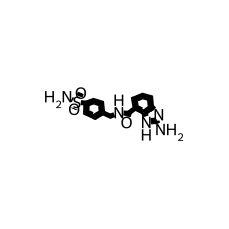 Nc1nc2cccc(C(=O)NCc3ccc(S(N)(=O)=O)cc3)c2[nH]1